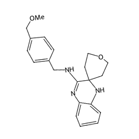 COCc1ccc(CNC2=Nc3ccccc3NC23CCOCC3)cc1